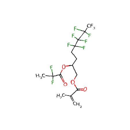 C=C(C)C(=O)OCC(CCC(F)(F)C(F)(F)C(F)(F)C(F)(F)F)OC(=O)C(C)(F)F